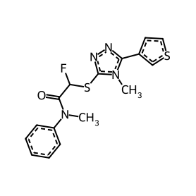 CN(C(=O)C(F)Sc1nnc(-c2ccsc2)n1C)c1ccccc1